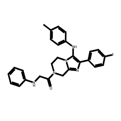 Cc1ccc(Nc2c(-c3ccc(F)cc3)nc3n2CCN(C(=O)CNc2ccccc2)C3)cc1